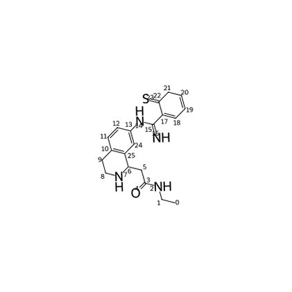 CCNC(=O)CC1NCCc2ccc(NC(=N)C3=CC=CCC3=S)cc21